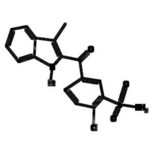 CCn1c(C(=O)c2ccc(Cl)c(S(N)(=O)=O)c2)c(C)c2ccccc21